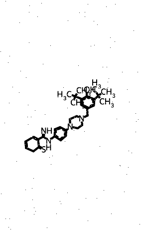 CC(C)(C)c1cc(CN2CCN(c3ccc(NC(=N)C4=CC=CCC4=S)cc3)CC2)cc(C(C)(C)C)c1O